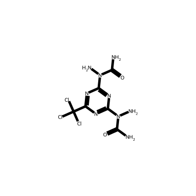 NC(=O)N(N)c1nc(N(N)C(N)=O)nc(C(Cl)(Cl)Cl)n1